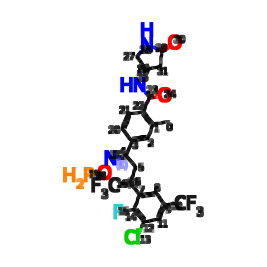 Cc1cc(/C(C[C@@H](c2cc(C(F)(F)F)cc(Cl)c2F)C(F)(F)F)=N/OP)ccc1C(=O)N[C@@H]1CNC(=O)C1